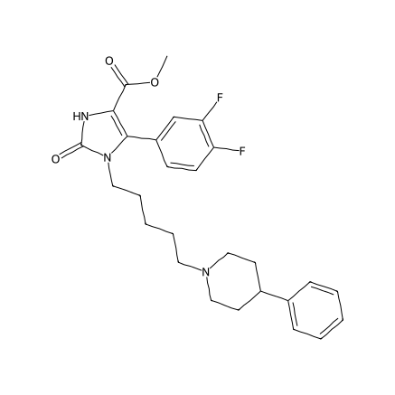 COC(=O)c1[nH]c(=O)n(CCCCCN2CCC(c3ccccc3)CC2)c1-c1ccc(F)c(F)c1